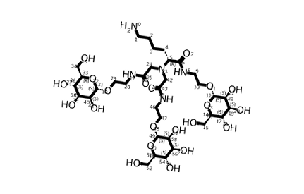 NCCCC[C@H](C(=O)NCCO[C@H]1O[C@H](CO)[C@@H](O)[C@H](O)[C@@H]1O)N(CC(=O)NCCO[C@H]1O[C@H](CO)[C@@H](O)[C@H](O)[C@@H]1O)CC(=O)NCCO[C@H]1O[C@H](CO)[C@@H](O)[C@H](O)[C@@H]1O